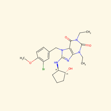 CCn1c(=O)c2c(nc(N[C@@H]3CCC[C@H]3O)n2Cc2ccc(OC)c(Br)c2)n(CC)c1=O